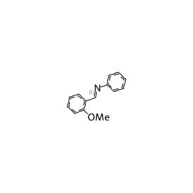 COc1ccccc1/C=N/c1ccccc1